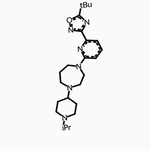 CC(C)N1CCC(N2CCCN(c3cccc(-c4noc(C(C)(C)C)n4)n3)CC2)CC1